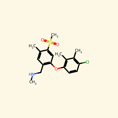 CNCc1cc(C)c(S(C)(=O)=O)cc1Oc1ccc(Cl)c(C)c1C